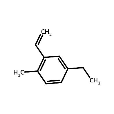 C=Cc1cc(CC)ccc1C